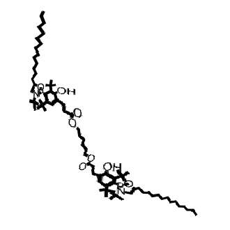 CCCCCCCCCCCCCCC1CN(C(C)(C)C)P(c2c(C(C)(C)C)cc(CCC(=O)OCCCCCCOC(=O)CCc3cc(C(C)(C)C)c(P4OC(CCCCCCCCCCCCCC)CN4C(C)(C)C)c(C(C)(C)C)c3O)c(O)c2C(C)(C)C)O1